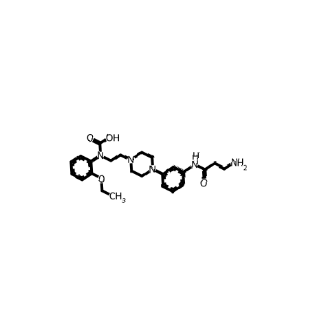 CCOc1ccccc1N(CCN1CCN(c2cccc(NC(=O)CCN)c2)CC1)C(=O)O